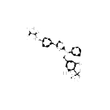 O=C(O)C(=O)Nc1ccc(-c2csc(N(Cc3ccc(C(F)(F)P(=O)(O)O)c(Br)c3)c3ccccc3)n2)cc1